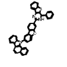 c1ccc(C2NC(c3ccc4c(c3)oc3ccc(-n5c6ccccc6c6ccc7ccccc7c65)cc34)=Nc3c2sc2ccccc32)cc1